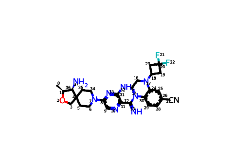 C[C@@H]1OCC2(CCN(c3cnc(C(=N)N4CCN(C5CC(F)(F)C5)c5cc(C#N)ccc54)c(N)n3)CC2)[C@@H]1N